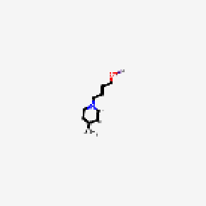 CC1CCN(CCCCOI)CC1